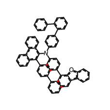 c1ccc(-c2ccc(-c3c(N(c4ccc(-c5ccccc5-c5ccccc5)cc4)c4ccc(-c5cccc6c5oc5ccccc56)cc4)c4ccccc4c4ccccc34)cc2)cc1